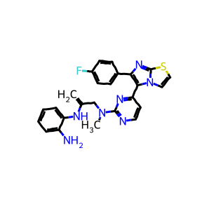 C=C(CN(C)c1nccc(-c2c(-c3ccc(F)cc3)nc3sccn23)n1)Nc1ccccc1N